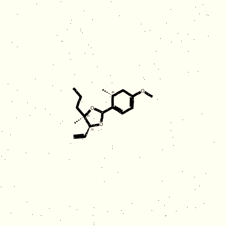 C=C[C@@H]1OC(C2=CC=C(OC)C[C@H]2C)O[C@]1(C)CCC